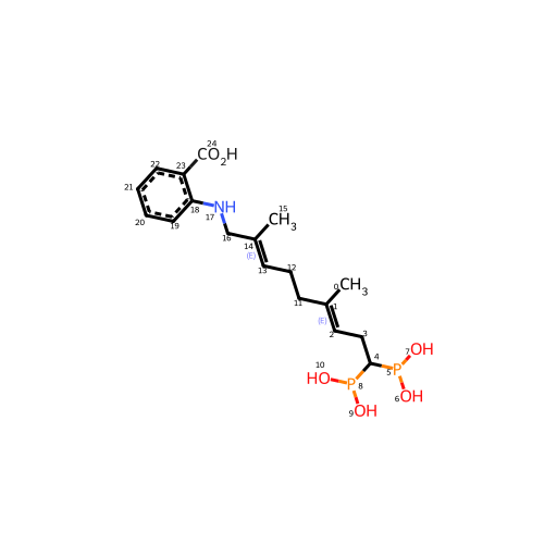 C/C(=C\CC(P(O)O)P(O)O)CC/C=C(\C)CNc1ccccc1C(=O)O